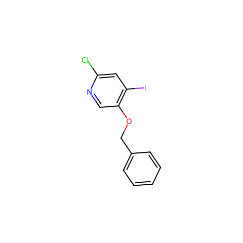 Clc1cc(I)c(OCc2ccccc2)cn1